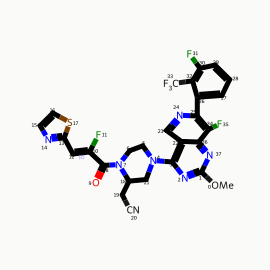 COc1nc(N2CCN(C(=O)/C(F)=C/c3nccs3)C(CC#N)C2)c2cnc(-c3cccc(F)c3C(F)(F)F)c(F)c2n1